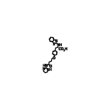 O=C(CCCOc1ccc(C[C@H](Nc2nc3ccccc3s2)C(=O)O)cc1)NC1=NCCCN1